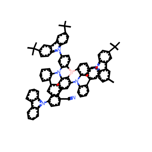 Cc1ccc2c(c1)c1cc(C(C)(C)C)ccc1n2-c1ccc2c(c1)N(c1ccccc1-c1ccccc1)c1cc(-c3cc(-n4c5ccccc5c5ccccc54)ccc3C#N)cc3c1B2c1ccc(-n2c4ccc(C(C)(C)C)cc4c4cc(C(C)(C)C)ccc42)cc1N3c1ccccc1-c1ccccc1